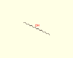 CCCCC=CCC(O)C=CC=CCCCCC